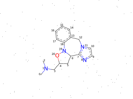 CN(C)CC1CC2c3nccn3Cc3ccccc3N2O1